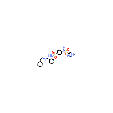 C[C@@H](CC1CCCCC1)NCc1ccccc1NS(=O)(=O)c1ccc(NS(=O)(=O)c2cn(C)cn2)cc1